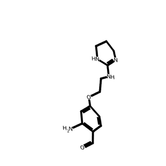 Nc1cc(OCCNC2=NCCCN2)ccc1C=O